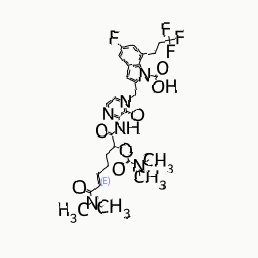 CN(C)C(=O)/C=C/CCC(OC(=O)N(C)C)C(=O)Nc1nccn(Cc2cc3cc(F)cc(CCC(F)(F)F)c3n2C(=O)O)c1=O